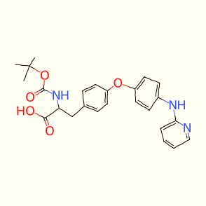 CC(C)(C)OC(=O)NC(Cc1ccc(Oc2ccc(Nc3ccccn3)cc2)cc1)C(=O)O